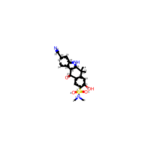 CN(C)S(=O)(=O)c1cc2c(cc1O)C(C)(C)c1[nH]c3cc(C#N)ccc3c1C2=O